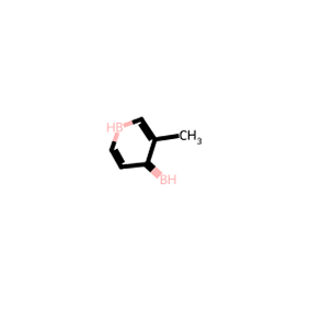 B=C1C=CBC=C1C